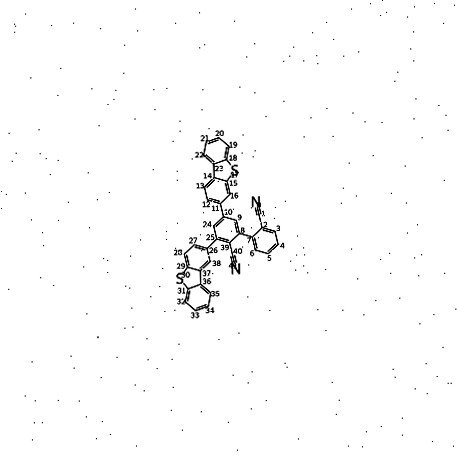 N#Cc1ccccc1-c1cc(-c2ccc3c(c2)sc2ccccc23)cc(-c2ccc3sc4ccccc4c3c2)c1C#N